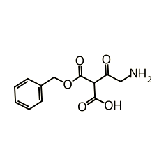 NCC(=O)C(C(=O)O)C(=O)OCc1ccccc1